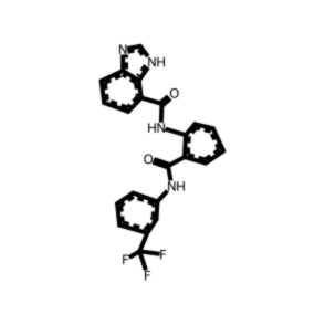 O=C(Nc1cccc(C(F)(F)F)c1)c1ccccc1NC(=O)c1cccc2nc[nH]c12